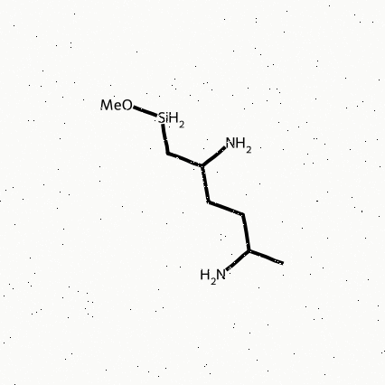 CO[SiH2]CC(N)CCC(C)N